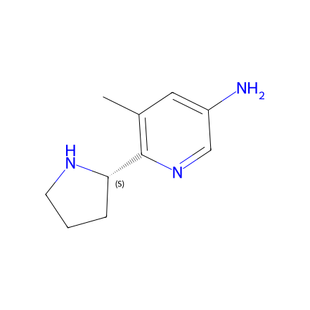 Cc1cc(N)cnc1[C@@H]1CCCN1